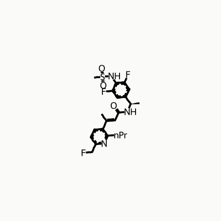 CCCc1nc(CF)ccc1/C(C)=C/C(=O)N[C@H](C)c1cc(F)c(NS(C)(=O)=O)c(F)c1